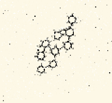 c1ccc(-c2cccc(-c3nc(-c4cccc(-c5ccc(-c6ccccc6)c6oc7ccccc7c56)c4)nc(-c4cccc5oc6ccccc6c45)n3)c2)cc1